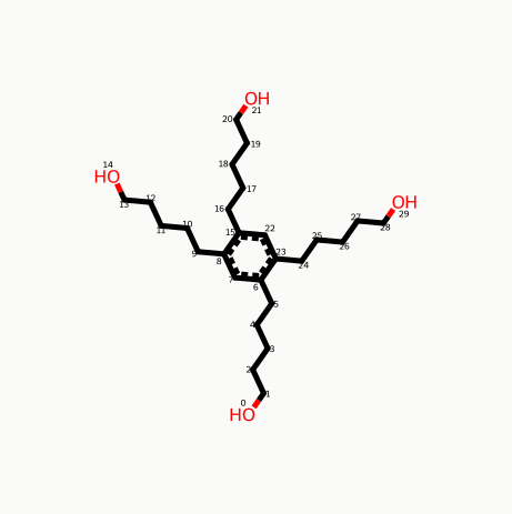 OCCCCCc1cc(CCCCCO)c(CCCCCO)cc1CCCCCO